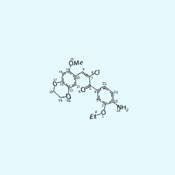 CCOc1cc(C(=O)/C(Cl)=C\c2cc3c(cc2OC)OCCO3)ccc1N